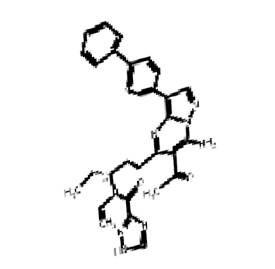 C=CN(C(=O)c1nc[nH]n1)[C@H](CC)CCc1nc2c(-c3ccc(-c4ccccc4)nc3)cnn2c(N)c1C(C)=O